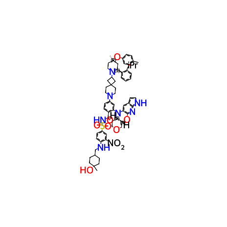 Cc1ccc(O[C@]2(C)CCN(C3CC4(CCN(c5ccc(C(=O)NS(=O)(=O)c6ccc(NCC7CCC(C)(O)CC7)c([N+](=O)[O-])c6)c(N6c7cc8cc[nH]c8nc7O[C@H]7COCC[C@@H]76)c5)CC4)C3)[C@H](c3ccccc3C(C)C)C2)cc1